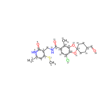 CSc1cc(C)[nH]c(=O)c1CNC(=O)c1cc(Cl)c2c(c1C)OC1(CCC(C=O)CC1)O2